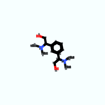 CCCCCCCCN(CCCCCCCC)C(CO)c1cccc(C(CO)N(CCCCCCCC)CCCCCCCC)c1